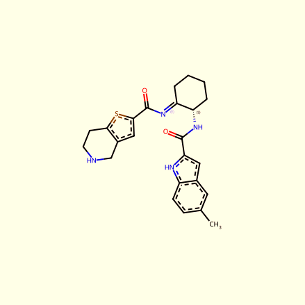 Cc1ccc2[nH]c(C(=O)N[C@H]3CCCC/C3=N\C(=O)c3cc4c(s3)CCNC4)cc2c1